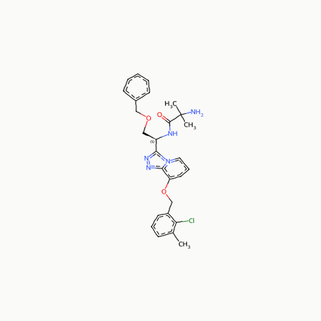 Cc1cccc(COc2cccn3c([C@@H](COCc4ccccc4)NC(=O)C(C)(C)N)nnc23)c1Cl